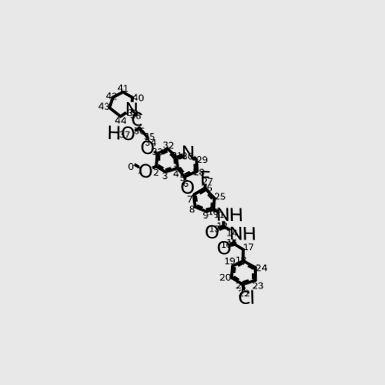 COc1cc2c(Oc3ccc(NC(=O)NC(=O)Cc4ccc(Cl)cc4)cc3F)ccnc2cc1OCC(O)CN1CCCCC1